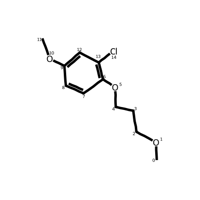 COCCCOc1ccc(OC)cc1Cl